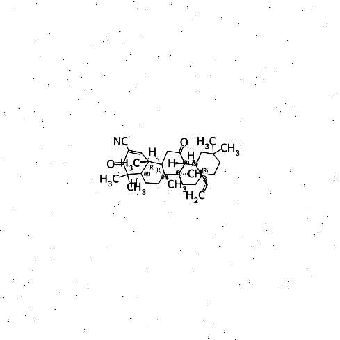 C=C[C@]12CCC(C)(C)C[C@H]1[C@H]1C(=O)C[C@@H]3[C@@]4(C)C=C(C#N)C(=O)C(C)(C)[C@@H]4CC[C@@]3(C)[C@]1(C)CC2